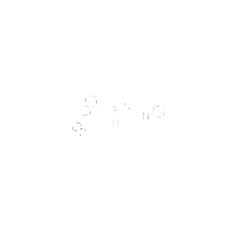 Cc1nnc(-c2cc3c(OC[C@@H](O)CN4CCC(N5CCc6ccccc65)CC4)cccc3o2)o1